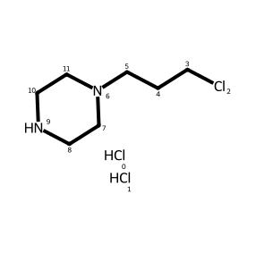 Cl.Cl.ClCCCN1CCNCC1